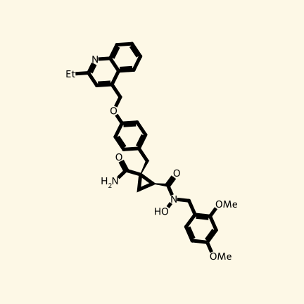 CCc1cc(COc2ccc(C[C@]3(C(N)=O)C[C@@H]3C(=O)N(O)Cc3ccc(OC)cc3OC)cc2)c2ccccc2n1